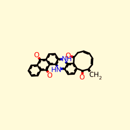 C=C1/C=C\C=C/CC(=O)c2c(ccc3[nH]c4c(ccc5c(=O)c6ccccc6c(=O)c54)[nH]c23)C1=O